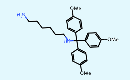 COc1ccc(C(NCCCCCCN)(c2ccc(OC)cc2)c2ccc(OC)cc2)cc1